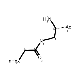 CCCCCCCC(=O)NC[C@H](N)C(C)=O